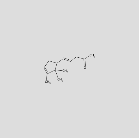 CC(=O)C/C=C/C1CC=C(C)C1(C)C